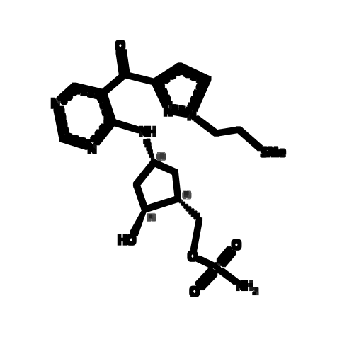 CSCCn1ccc(C(=O)c2cncnc2N[C@@H]2C[C@H](COS(N)(=O)=O)[C@@H](O)C2)n1